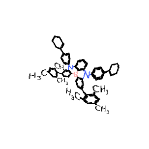 Cc1cc(C)c(-c2ccc3c(c2)N(c2ccc(C4CCCCC4)cc2)c2cccc4c2B3c2ccc(-c3c(C)cc(C)cc3C)cc2N4c2ccc(C3CCCCC3)cc2)c(C)c1